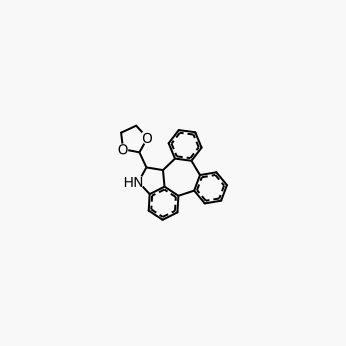 c1ccc2c(c1)-c1ccccc1C1c3c(cccc3-2)NC1C1OCCO1